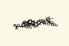 C[C@H]1CC[C@@H](c2ncc(-c3ccc4c(c3)COc3cc5c(ccc6nc([C@@]7(C(C)(C)C)C[C@H](COC(F)F)CN7C(=O)O)[nH]c65)cc3-4)[nH]2)N1C(=O)OC(C)(C)C